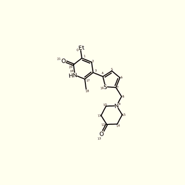 CCc1cc(-c2ccc(CN3CCC(=O)CC3)s2)c(C)[nH]c1=O